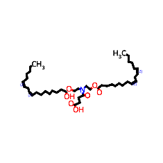 CCCCC/C=C\C/C=C\CCCCCCCC(=O)OCCN(CCOC(O)CCCCCCC/C=C\C/C=C\CCCCC)C(=O)CCC(=O)O